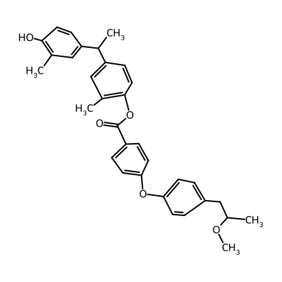 COC(C)Cc1ccc(Oc2ccc(C(=O)Oc3ccc(C(C)c4ccc(O)c(C)c4)cc3C)cc2)cc1